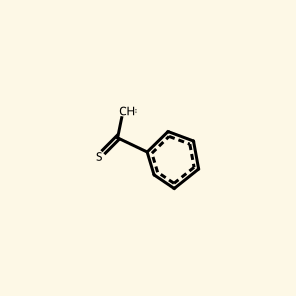 [CH]C(=S)c1ccccc1